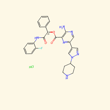 Cl.Nc1ncc(-c2cnn(C3CCNCC3)c2)nc1C(=O)O[C@@H](C(=O)Nc1ccccc1F)c1ccccc1